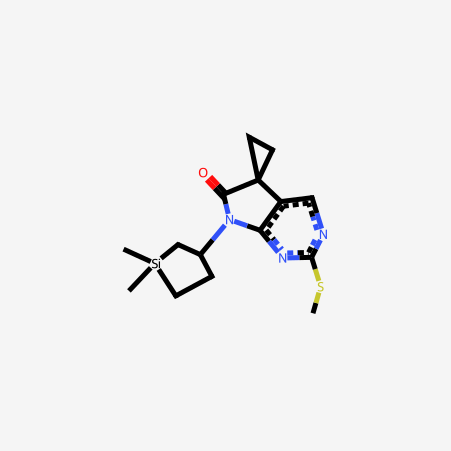 CSc1ncc2c(n1)N(C1CC[Si](C)(C)C1)C(=O)C21CC1